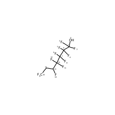 OC(F)(F)C(F)(F)C(F)(F)C(F)(F)C(F)CC(F)(F)F